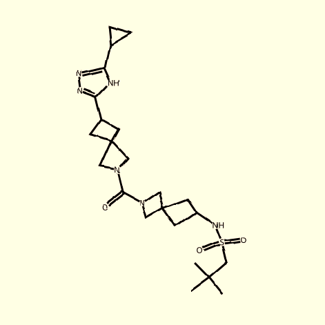 CC(C)(C)CS(=O)(=O)NC1CC2(C1)CN(C(=O)N1CC3(CC(c4nnc(C5CC5)[nH]4)C3)C1)C2